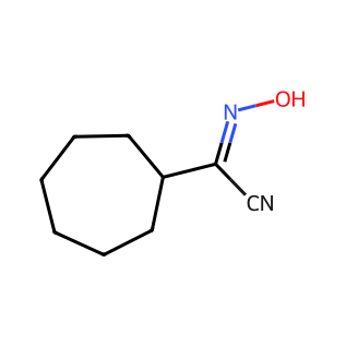 N#C/C(=N\O)C1CCCCCC1